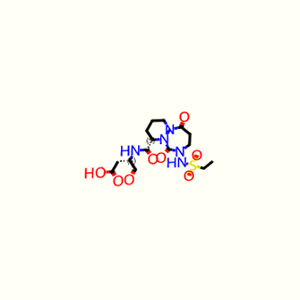 CCS(=O)(=O)NN1CCC(=O)N2CCC[C@@H](C(=O)N[C@H](C=O)CC(=O)O)N2C1=O